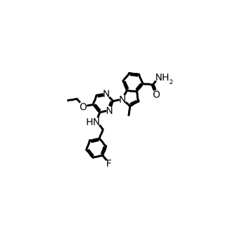 CCOc1cnc(-n2c(C)cc3c(C(N)=O)cccc32)nc1NCc1cccc(F)c1